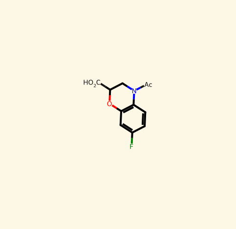 CC(=O)N1CC(C(=O)O)Oc2cc(F)ccc21